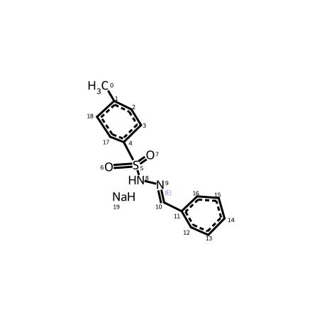 Cc1ccc(S(=O)(=O)N/N=C/c2ccccc2)cc1.[NaH]